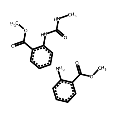 CNC(=O)Nc1ccccc1C(=O)OC.COC(=O)c1ccccc1N